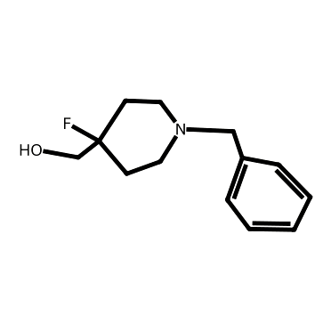 OCC1(F)CCN(Cc2ccccc2)CC1